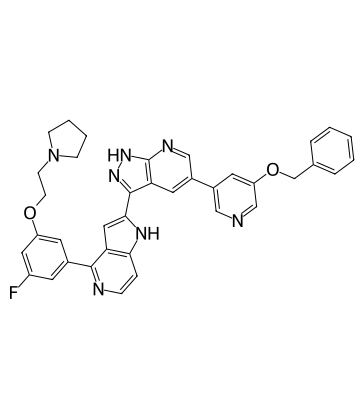 Fc1cc(OCCN2CCCC2)cc(-c2nccc3[nH]c(-c4n[nH]c5ncc(-c6cncc(OCc7ccccc7)c6)cc45)cc23)c1